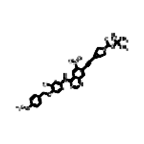 COc1ccc(COc2ccc(Nc3ncnc4cc(C#CC5C6CN(C(=O)OC(C)(C)C)CC56)c([N+](=O)[O-])cc34)cc2Cl)cc1